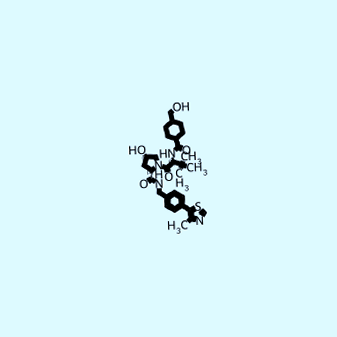 Cc1ncsc1-c1ccc(CNC(=O)[C@@H]2C[C@@H](O)CN2C(=O)[C@@H](NC(=O)C2CCC(CO)CC2)C(C)(C)C)cc1